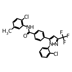 Cc1ccc(Cl)c(NC(=O)c2ccc(-c3cc(C(F)(F)F)nn3-c3ccccc3Cl)cc2)c1